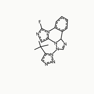 CC(C)(C)c1cnnn1N1C=NC2c3ccccc3-n3c(cnc3F)N21